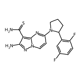 NC(=S)c1c(N)nn2ccc(N3CCCC3c3cc(F)ccc3F)nc12